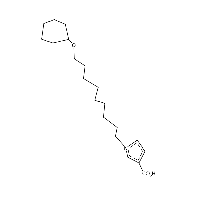 O=C(O)c1ccn(CCCCCCCCCOC2CCCCC2)c1